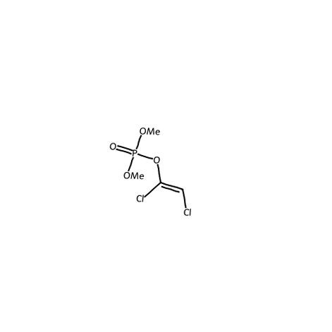 COP(=O)(OC)O/C(Cl)=C/Cl